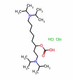 CC(C)N(CCCCCC(CCN(C(C)C)C(C)C)OC(=O)O)C(C)C.Cl.Cl